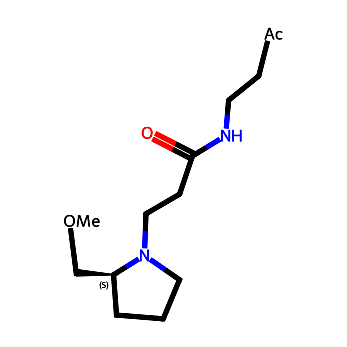 COC[C@@H]1CCCN1CCC(=O)NCCC(C)=O